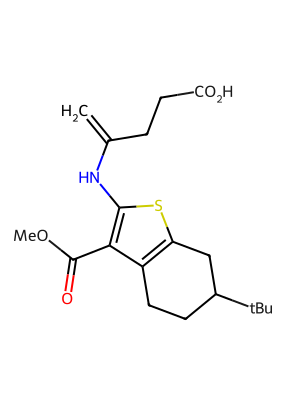 C=C(CCC(=O)O)Nc1sc2c(c1C(=O)OC)CCC(C(C)(C)C)C2